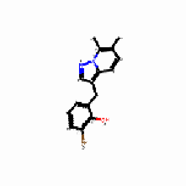 Cc1ccc2c(Cc3cccc(Br)c3O)cnn2c1C